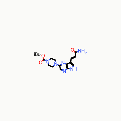 CC[C@@H](C)OC(=O)N1CCN(c2cnc3[nH]cc(/C=C/C(N)=O)c3n2)CC1